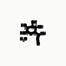 O.O=C=C(O)[C@H]1O[C@@H](O)[C@H](O)[C@@H](O)[C@@H]1O